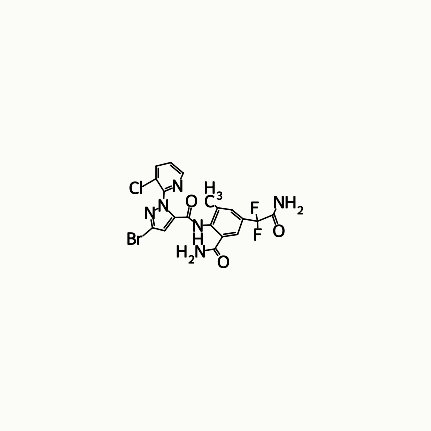 Cc1cc(C(F)(F)C(N)=O)cc(C(N)=O)c1NC(=O)c1cc(Br)nn1-c1ncccc1Cl